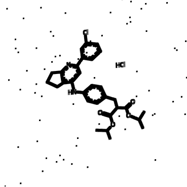 CC(C)OC(=O)C(Cc1ccc(Nc2cc(-c3cccc(Cl)c3)nc3c2CCC3)cc1)C(=O)OC(C)C.Cl